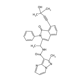 Cc1nn2cccnc2c1C(=O)NC(C)c1cc2cccc(C#CC(C)(C)O)c2c(=O)n1-c1ccccc1